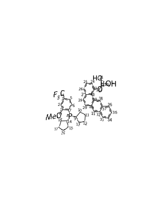 COc1cc(C(F)(F)F)ccc1P(C1CCCC1)C1CCCC1.OB(O)Oc1cccc2ccc3cc4ccccc4cc3c12